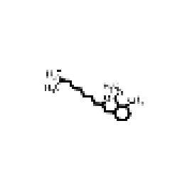 COCC1C(C)CCCC1CC(=O)CCCCCCC(C)C